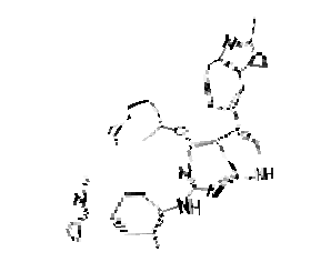 Cc1nc2ccc(-c3c[nH]c4nc(Nc5ccc(C(=O)N(C)C)cc5C)nc(OC5CCOCC5)c34)cc2o1